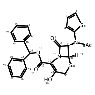 CC(=O)N(c1cccs1)[C@@H]1C(=O)N2C(C(=O)OC(c3ccccc3)c3ccccc3)=C(O)CS[C@@H]12